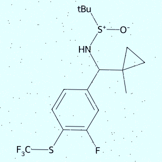 CC1(C(N[S+]([O-])C(C)(C)C)c2ccc(SC(F)(F)F)c(F)c2)CC1